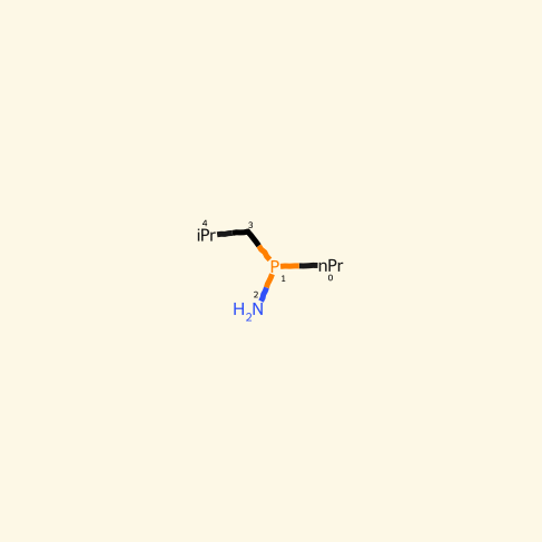 CCCP(N)CC(C)C